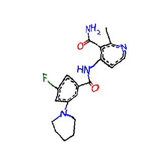 Cc1nccc(NC(=O)c2cc(F)cc(N3CCCCC3)c2)c1C(N)=O